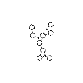 c1ccc(-c2cccc(-n3c4ccc(-c5ccc6c(c5)c5ccccc5n6-c5ccccc5)cc4c4cc(-c5cccc6c5oc5ccccc56)ccc43)c2)cc1